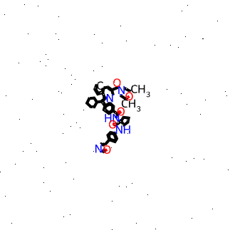 C[C@@H]1CN(C(=O)C2=Cc3ccccc3-c3c(C4CCCCC4)c4ccc(C(=O)NC5(C(=O)Nc6ccc(-c7cnco7)cc6)CCCC5)cc4n3C2)C[C@H](C)O1